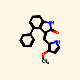 COc1cc[nH]c1C=C1C(=O)Nc2cccc(-c3ccccc3)c21